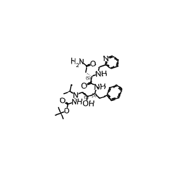 CC(C)N(C[C@H](O)[C@H](Cc1ccccc1)NC(=O)[C@H](CC(N)=O)NCc1ccccn1)NC(=O)OC(C)(C)C